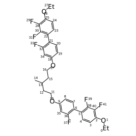 CCOc1ccc(-c2ccc(OCCC(C)CCOc3ccc(-c4ccc(OCC)c(F)c4F)c(F)c3)cc2F)c(F)c1F